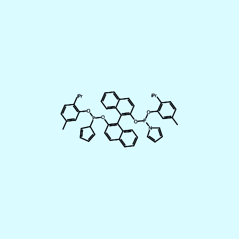 Cc1ccc(C(C)C)c(OP(Oc2ccc3ccccc3c2-c2c(OP(Oc3cc(C)ccc3C(C)C)n3cccc3)ccc3ccccc23)C2C=CC=C2)c1